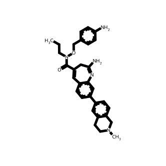 CCCN(OCc1ccc(N)cc1)C(=O)C1=Cc2ccc(-c3ccc4c(c3)CCN(C)C4)cc2N=C(N)C1